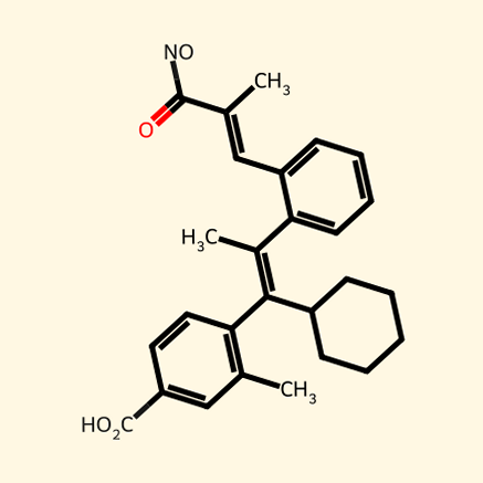 C/C(=C\c1ccccc1/C(C)=C(/c1ccc(C(=O)O)cc1C)C1CCCCC1)C(=O)N=O